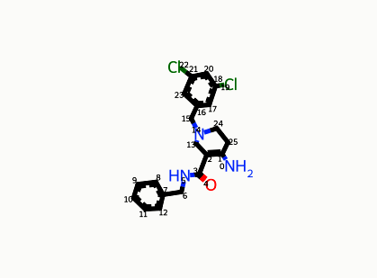 NC1=C(C(=O)NCc2ccccc2)CN(Cc2cc(Cl)cc(Cl)c2)CC1